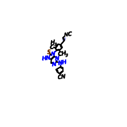 [C-]#[N+]/C=C/c1cc(C)c(-n2c(=S)[nH]c3cnc(Nc4ccc(C#N)cc4)nc32)c(C)c1